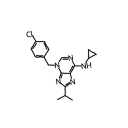 CC(C)c1nc2c(NC3CC3)ncn(Cc3ccc(Cl)cc3)c-2n1